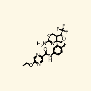 CCOc1cnc(C(=O)Nc2ccc(F)c([C@]34CO[C@H](C(F)(F)F)C3CSC(N)=N4)c2)cn1